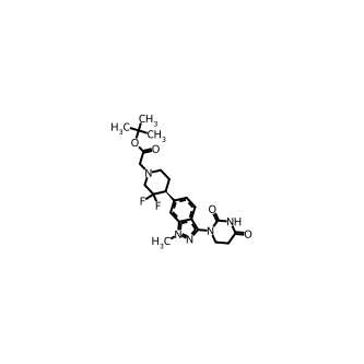 Cn1nc(N2CCC(=O)NC2=O)c2ccc([C@@H]3CCN(CC(=O)OC(C)(C)C)CC3(F)F)cc21